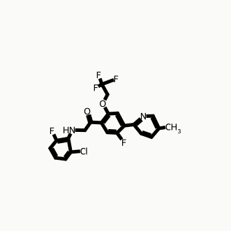 Cc1ccc(-c2cc(OCC(F)(F)F)c(C(=O)CNc3c(F)cccc3Cl)cc2F)nc1